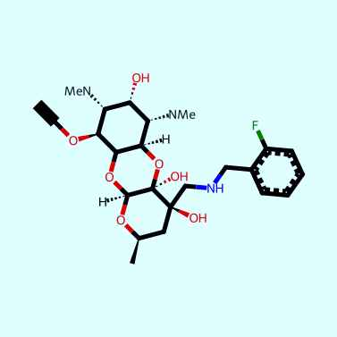 C#CO[C@@H]1C2O[C@@H]3O[C@H](C)C[C@@](O)(CNCc4ccccc4F)[C@]3(O)O[C@@H]2[C@@H](NC)[C@@H](O)[C@H]1NC